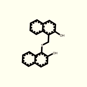 Oc1ccc2ccccc2c1CSc1c(O)ccc2ccccc12